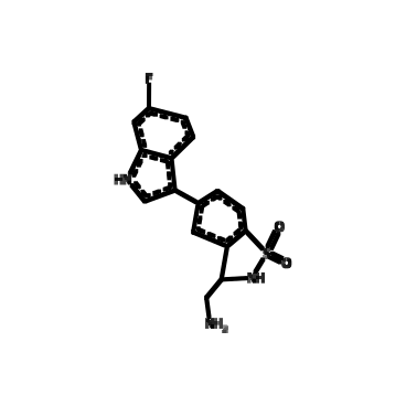 NCC1NS(=O)(=O)c2ccc(-c3c[nH]c4cc(F)ccc34)cc21